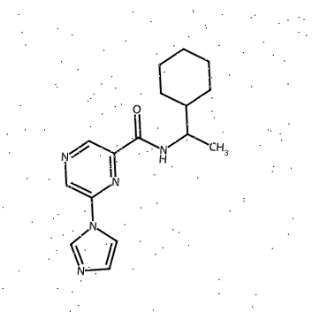 CC(NC(=O)c1cncc(-n2ccnc2)n1)C1CCCCC1